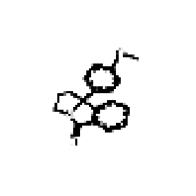 COc1ccc(C23CCCN2C(=O)c2ccccc23)cc1